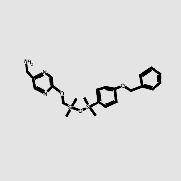 C[Si](C)(COc1cnc(CN)cn1)O[Si](C)(C)c1ccc(OCc2ccccc2)cc1